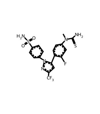 CN(C(N)=S)c1ccc(-c2cc(C(F)(F)F)nn2-c2ccc(S(N)(=O)=O)cc2)c(F)c1